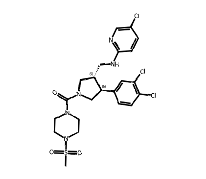 CS(=O)(=O)N1CCN(C(=O)N2C[C@H](CNc3ccc(Cl)cn3)[C@@H](c3ccc(Cl)c(Cl)c3)C2)CC1